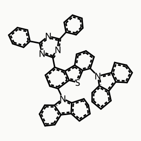 c1ccc(-c2nc(-c3ccccc3)nc(-c3ccc(-n4c5ccccc5c5ccccc54)c4sc5c(-n6c7ccccc7c7ccccc76)cccc5c34)n2)cc1